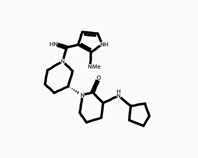 CNc1[nH]ccc1C(=N)N1CCC[C@@H](N2CCCC(NC3CCCC3)C2=O)C1